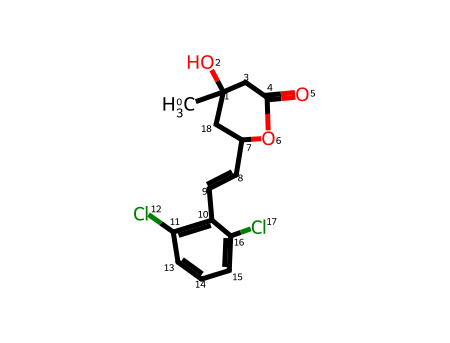 CC1(O)CC(=O)OC(/C=C/c2c(Cl)cccc2Cl)C1